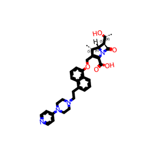 C[C@@H](O)[C@H]1C(=O)N2C(C(=O)O)=C(COc3cccc4c(CCN5CCN(c6ccncc6)CC5)cccc34)[C@H](C)[C@H]12